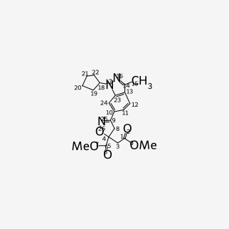 COC(=O)CC1(C(=O)OC)CC(c2ccc3c(C)nn(C4CCCC4)c3c2)=NO1